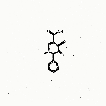 CN1C=C(C(=O)O)C(=S)C(=O)C1c1ccccc1